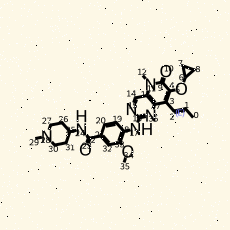 C/C=C/c1c(OC2CC2)c(=O)n(C)c2cnc(Nc3ccc(C(=O)NC4CCN(C)CC4)cc3OC)nc12